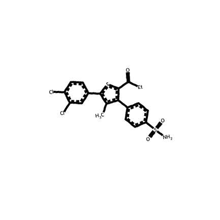 CCC(=O)c1sc(-c2ccc(Cl)c(Cl)c2)c(C)c1-c1ccc(S(N)(=O)=O)cc1